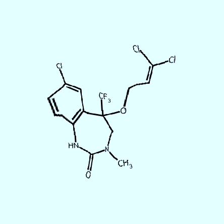 CN1CC(OCC=C(Cl)Cl)(C(F)(F)F)c2cc(Cl)ccc2NC1=O